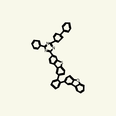 c1ccc(-c2ccc(-c3nc(-c4ccccc4)nc(-c4ccc5c(c4)sc4ccc(-c6ccccc6-c6ccc7oc8ccccc8c7c6)cc45)n3)cc2)cc1